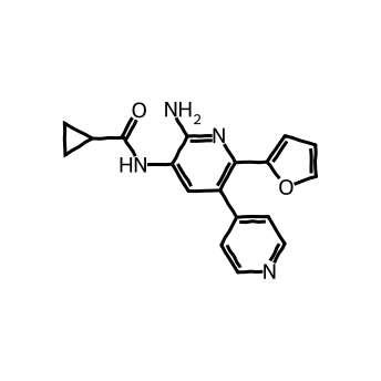 Nc1nc(-c2ccco2)c(-c2ccncc2)cc1NC(=O)C1CC1